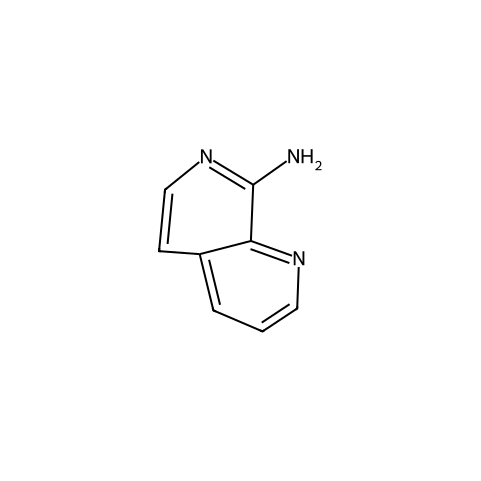 Nc1nccc2cccnc12